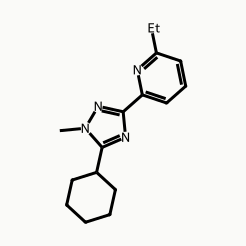 CCc1cccc(-c2nc(C3CCCCC3)n(C)n2)n1